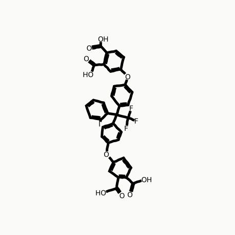 O=C(O)c1ccc(Oc2ccc(C(c3ccc(Oc4ccc(C(=O)O)c(C(=O)O)c4)cc3)(c3ccccc3I)C(F)(F)F)cc2)cc1C(=O)O